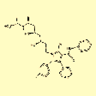 C=C(C[C@H](O)C[C@H](O)CCn1c(-c2ccc(F)cc2)c(-c2ccccc2)c(C(=O)Nc2ccccc2)c1C(C)C)N[C@@H](C)C(=O)O